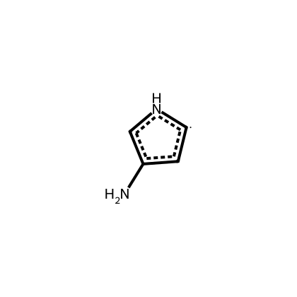 Nc1c[c][nH]c1